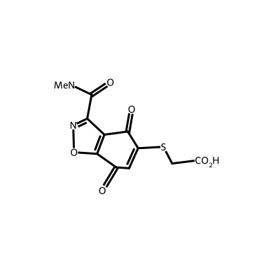 CNC(=O)c1noc2c1C(=O)C(SCC(=O)O)=CC2=O